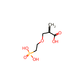 C=C(COCCP(=O)(O)O)C(=O)O